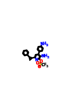 Nc1ccc(-c2cc(C3CC3c3ccccc3)nc(OS(=O)(=O)C(F)(F)F)c2N)cc1